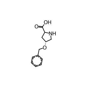 O=C(O)C1C[C@@H](OCc2ccccc2)CN1